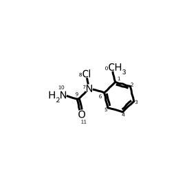 Cc1ccccc1N(Cl)C(N)=O